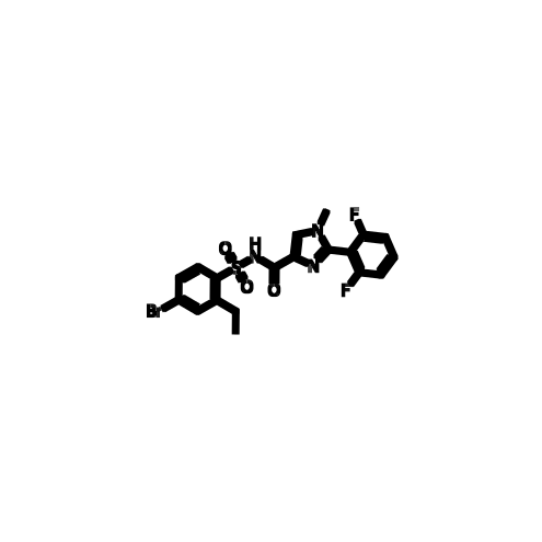 CCc1cc(Br)ccc1S(=O)(=O)NC(=O)c1cn(C)c(-c2c(F)cccc2F)n1